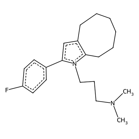 CN(C)CCCn1c(-c2ccc(F)cc2)cc2c1CCCCCC2